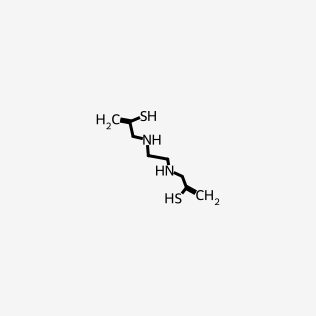 C=C(S)CNCCNCC(=C)S